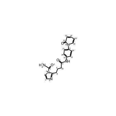 NC(=O)n1ccnc1CC[CH]C(=O)Nc1ccc(-n2ccccc2=O)cc1